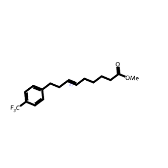 COC(=O)CCCC/C=C/CCc1ccc(C(F)(F)F)cc1